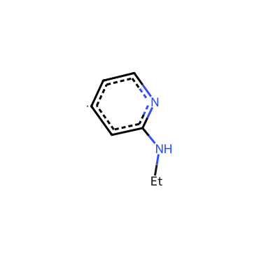 CCNc1c[c]ccn1